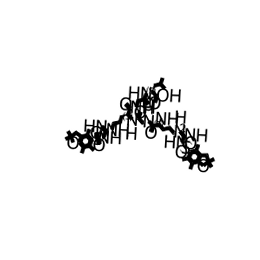 Cc1c(C)c(S(=O)(=O)NC(=N)NCCC[C@H](NC(=O)CNC(=O)[C@@H](N)CCCNC(=N)NS(=O)(=O)c2c(C)c(C)c3c(c2C)CC(C)(C)O3)C(=O)NCC(=O)N[C@@H](CC(C)C)C(=O)O)c(C)c2c1OC(C)(C)C2